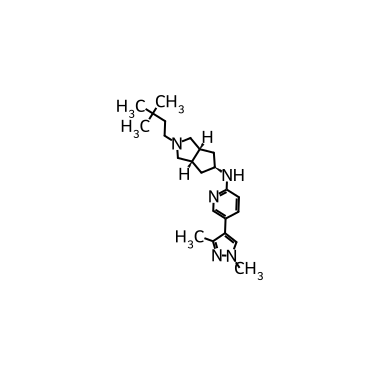 Cc1nn(C)cc1-c1ccc(N[C@H]2C[C@@H]3CN(CCC(C)(C)C)C[C@@H]3C2)nc1